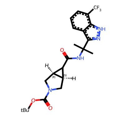 CC(C)(C)OC(=O)N1C[C@@H]2C(C(=O)NC(C)(C)c3n[nH]c4c(C(F)(F)F)cccc34)[C@@H]2C1